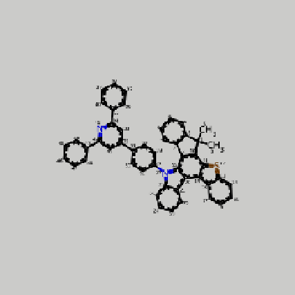 CC1(C)c2ccccc2-c2c1c1sc3ccccc3c1c1c3ccccc3n(-c3ccc(-c4cc(-c5ccccc5)nc(-c5ccccc5)c4)cc3)c21